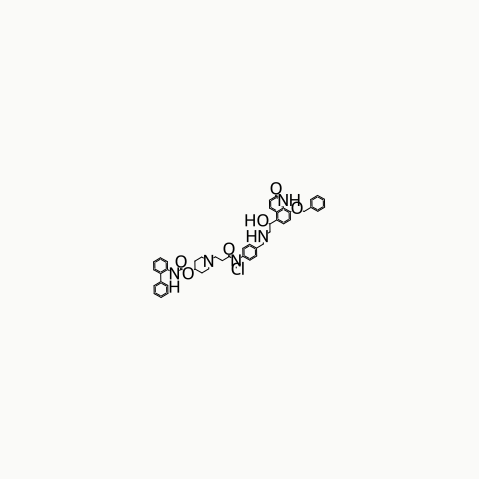 O=C(Nc1ccccc1-c1ccccc1)OC1CCN(CCC(=O)N(Cl)c2ccc(CNCC(O)c3ccc(OCc4ccccc4)c4[nH]c(=O)ccc34)cc2)CC1